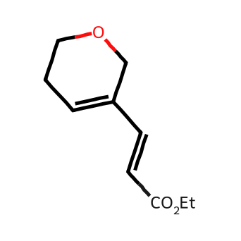 CCOC(=O)C=CC1=CCCOC1